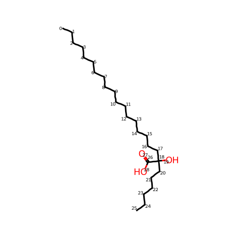 CCCCCCCCCCCCCCCCCCC(O)(CCCCCC)C(=O)O